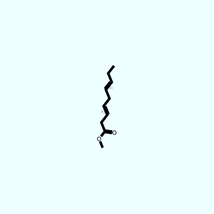 CC/C=C/C/C=C/CC(=O)OC